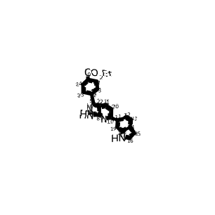 CCOC(=O)c1ccc(-c2n[nH]c3nc(-c4ccc5cc[nH]c5c4)ccc23)cc1